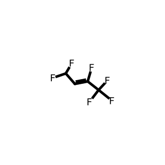 FC(=CC(F)F)C(F)(F)F